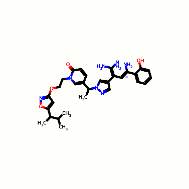 CC(C)C(C)c1cc(OCCn2cc(C(C)n3cc(C(/C=C(\N)c4ccccc4O)=C(N)N)cn3)ccc2=O)no1